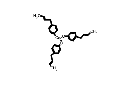 CC=CCc1ccc(OP(Oc2ccc(CC=CC)cc2)Oc2ccc(CC=CC)cc2)cc1